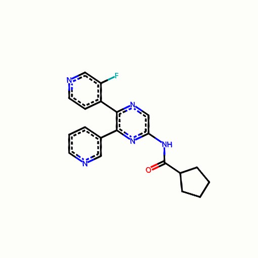 O=C(Nc1cnc(-c2ccncc2F)c(-c2cccnc2)n1)C1CCCC1